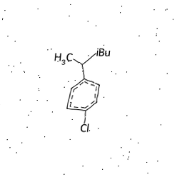 CCC(C)C(C)c1ccc(Cl)cc1